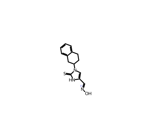 O/N=C/c1cn(C2CCc3ccccc3C2)c(=S)[nH]1